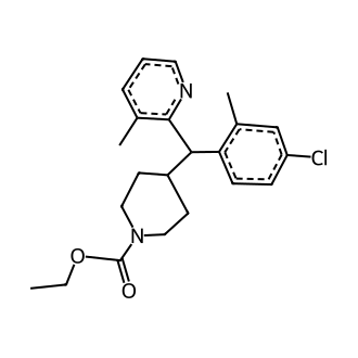 CCOC(=O)N1CCC(C(c2ccc(Cl)cc2C)c2ncccc2C)CC1